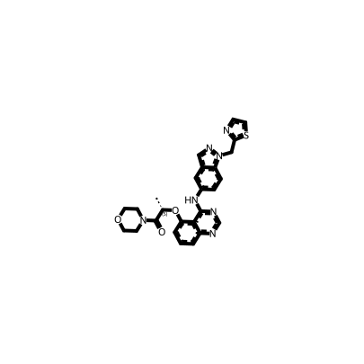 C[C@H](Oc1cccc2ncnc(Nc3ccc4c(cnn4Cc4nccs4)c3)c12)C(=O)N1CCOCC1